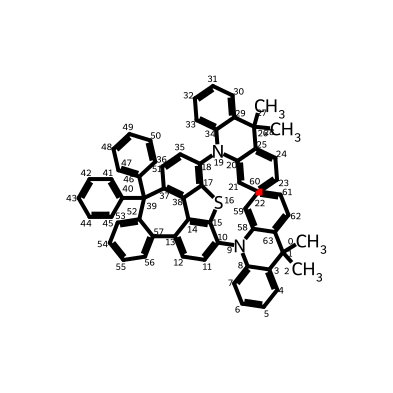 CC1(C)c2ccccc2N(c2ccc3c4c2sc2c(N5c6ccccc6C(C)(C)c6ccccc65)ccc(c24)C(c2ccccc2)(c2ccccc2)c2ccccc2-3)c2ccccc21